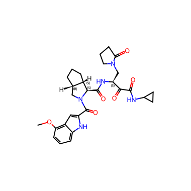 COc1cccc2[nH]c(C(=O)N3C[C@@H]4CCC[C@@H]4[C@H]3C(=O)N[C@@H](CN3CCCC3=O)C(=O)C(=O)NC3CC3)cc12